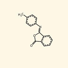 Cc1ccc(/N=C2\OC(=O)c3ccccc32)cc1